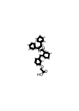 O=C(O)COc1cccc(CC2CCCC=C2c2nc(-c3ccccc3)c(-c3ccccc3)o2)c1